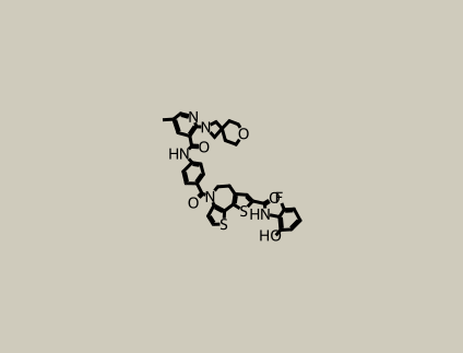 Cc1cnc(N2CC3(CCOCC3)C2)c(C(=O)Nc2ccc(C(=O)N3CCc4cc(C(=O)Nc5c(O)cccc5F)sc4-c4sccc43)cc2)c1